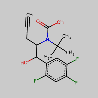 C#CCC(C(O)c1cc(F)c(F)cc1F)N(C(=O)O)C(C)(C)C